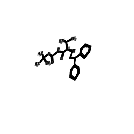 CC(C)[C@@H](NCC(c1ccccc1)c1ccccc1)C(=O)NC(=O)OC(C)(C)C